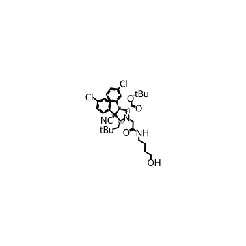 CC(C)(C)C[C@@H]1N(CC(=O)NCCCCO)[C@@H](C(=O)OC(C)(C)C)[C@H](c2cccc(Cl)c2)[C@@]1(C#N)c1ccc(Cl)cc1